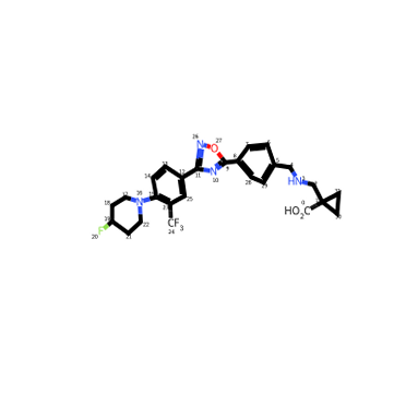 O=C(O)C1(CNCc2ccc(-c3nc(-c4ccc(N5CCC(F)CC5)c(C(F)(F)F)c4)no3)cc2)CC1